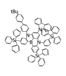 CC(C)(C)c1ccc(-c2ccc(N3c4cc([Si](c5ccccc5)(c5ccccc5)c5ccccc5)ccc4B4c5ccc([Si](c6ccccc6)(c6ccccc6)c6ccccc6)cc5N(c5cccc([Si](c6ccccc6)(c6ccccc6)c6ccccc6)c5)c5cc(-n6c7ccccc7c7ccccc76)cc3c54)cc2)cc1